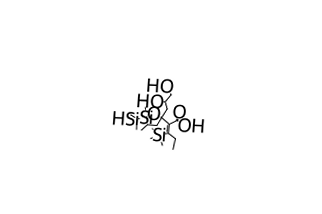 CCCC(CC(O)CO)(O[Si](C)(C)[SiH](C)C)C(C(=O)O)=C(CC)[Si](C)(C)C